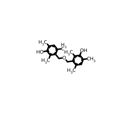 Cc1cc(C)c(COCc2c(C)cc(C)c(O)c2C)c(C)c1O